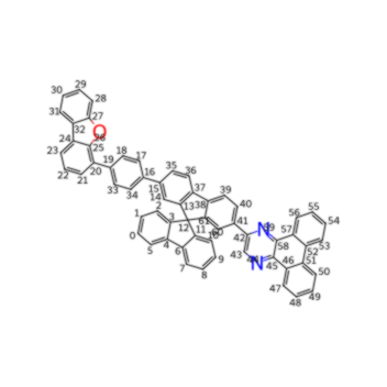 c1ccc2c(c1)-c1ccccc1C21c2cc(-c3ccc(-c4cccc5c4oc4ccccc45)cc3)ccc2-c2ccc(-c3cnc4c5ccccc5c5ccccc5c4n3)cc21